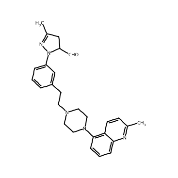 CC1=NN(c2cccc(CCN3CCN(c4cccc5nc(C)ccc45)CC3)c2)C(C=O)C1